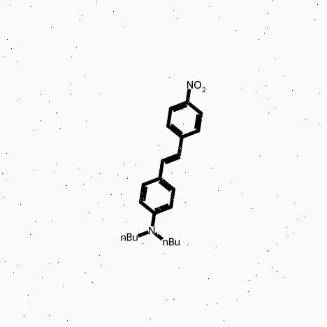 CCCCN(CCCC)c1ccc(/C=C/c2ccc([N+](=O)[O-])cc2)cc1